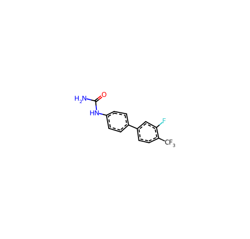 NC(=O)Nc1ccc(-c2ccc(C(F)(F)F)c(F)c2)cc1